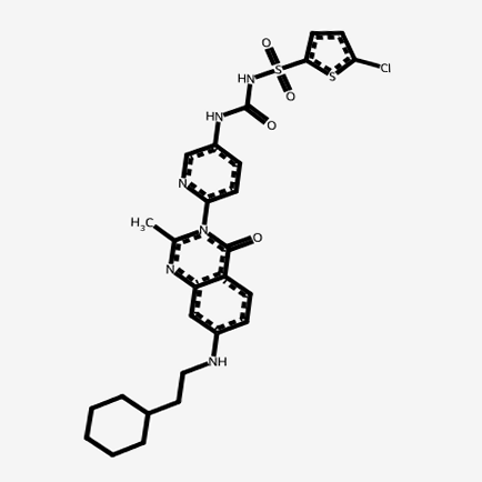 Cc1nc2cc(NCCC3CCCCC3)ccc2c(=O)n1-c1ccc(NC(=O)NS(=O)(=O)c2ccc(Cl)s2)cn1